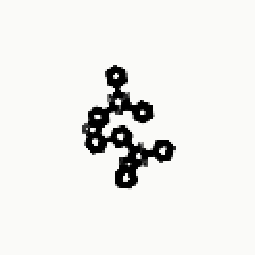 C1=CCC(c2nc(C3=CCCC(C4=CC=CC5Oc6ccc(-c7nc(-c8ccccc8)nc(-c8ccccc8)n7)cc6C45)=C3)c3sc4ccccc4c3n2)C=C1